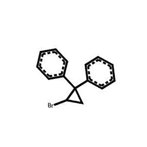 BrC1CC1(c1ccccc1)c1ccccc1